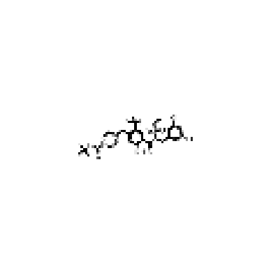 CCS(=O)(=O)N(Cc1cc(Cl)cc(Cl)c1)C(=O)c1cc(C(F)(F)F)c(CN2CCN(C(=O)OC(C)(C)C)CC2)cc1N